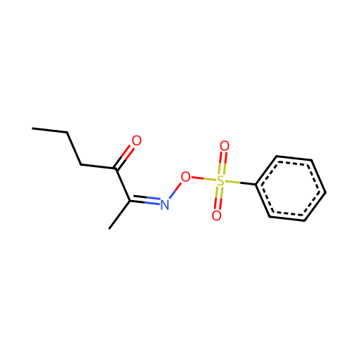 CCCC(=O)C(C)=NOS(=O)(=O)c1ccccc1